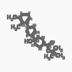 Cc1cccc(-c2ccc(C3(O)CCN(C(=O)OC(C)(C)C)CC3)cc2)c1C